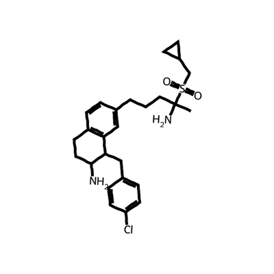 CC(N)(CCCc1ccc2c(c1)C(Cc1ccc(Cl)cc1)C(N)CC2)S(=O)(=O)CC1CC1